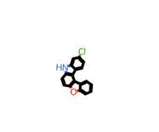 Clc1ccc2c(c1)[nH]c1ccc3oc4ccccc4c3c12